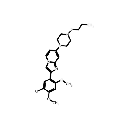 CCCSN1CCN(c2ccn3cc(-c4cc(Cl)c(OC)cc4OC)nc3c2)CC1